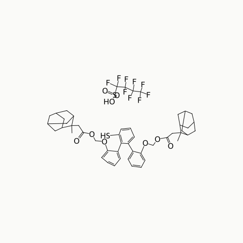 CC1(CC(=O)OCOc2ccccc2-c2cccc(S)c2-c2ccccc2OCOC(=O)CC2(C)C3CC4CC(C3)CC2C4)C2CC3CC(C2)CC1C3.O=S(=O)(O)C(F)(F)C(F)(F)C(F)(F)C(F)(F)F